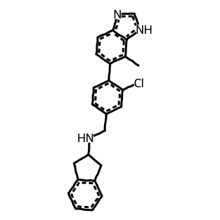 Cc1c(-c2ccc(CNC3Cc4ccccc4C3)cc2Cl)ccc2nc[nH]c12